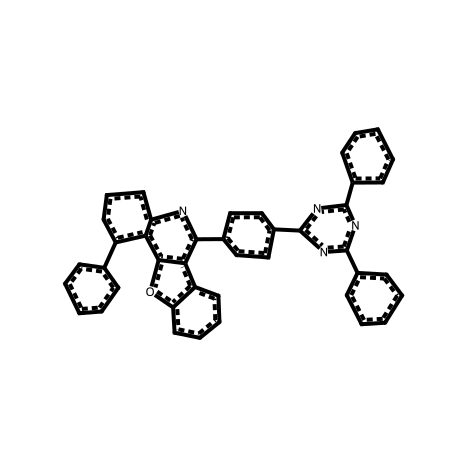 c1ccc(-c2nc(-c3ccccc3)nc(-c3ccc(-c4nc5cccc(-c6ccccc6)c5c5oc6ccccc6c45)cc3)n2)cc1